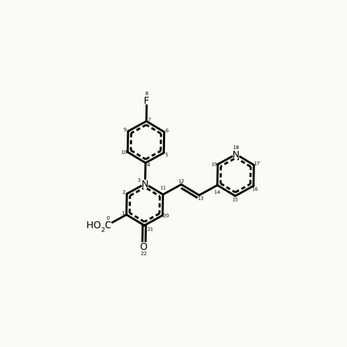 O=C(O)c1cn(-c2ccc(F)cc2)c(C=Cc2cccnc2)cc1=O